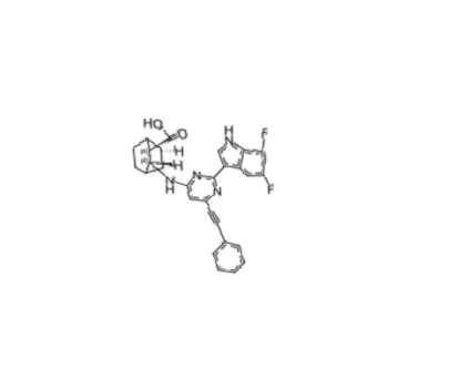 O=C(O)[C@@H]1C2CCC(CC2)[C@H]1Nc1cc(C#Cc2ccccc2)nc(-c2c[nH]c3c(F)cc(F)cc23)n1